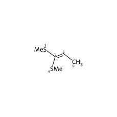 CC=C(SC)SC